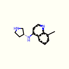 Cc1cccc2c(N[C@@H]3CCNC3)ccnc12